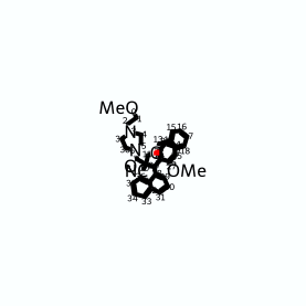 COCCN1CCN(C(=O)C(C#N)(COCc2ccccc2)C(c2ccccc2OC)c2cccc3ccccc23)CC1